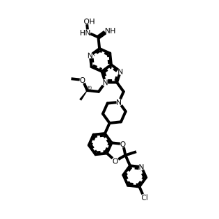 CO[C@H](C)Cn1c(CN2CCC(c3cccc4c3OC(C)(c3ccc(Cl)cn3)O4)CC2)nc2cc(C(=N)NO)ncc21